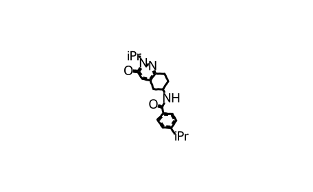 CC(C)c1ccc(C(=O)NC2CCc3nn(C(C)C)c(=O)cc3C2)cc1